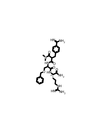 CN(C)C(=O)C(Cc1ccc(C(=N)N)cc1)C(=O)NC(COCc1ccccc1)C(=O)N[C@@H](CCCNC(=N)N)C(N)=O